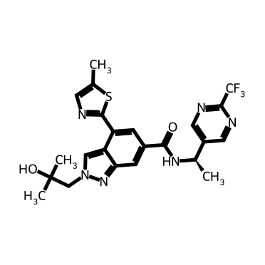 Cc1cnc(-c2cc(C(=O)N[C@H](C)c3cnc(C(F)(F)F)nc3)cc3nn(CC(C)(C)O)cc23)s1